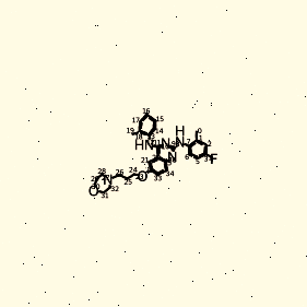 Cc1cc(F)ccc1Nc1nc(Nc2ccccc2C)c2cc(OCCCN3CCOCC3)ccc2n1